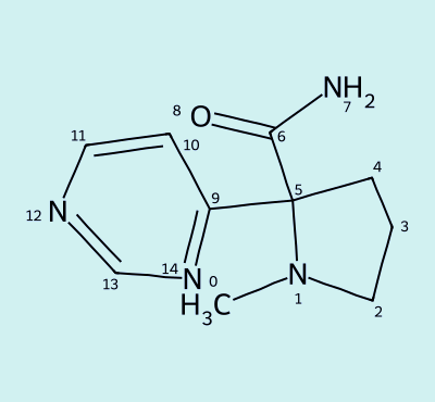 CN1CCCC1(C(N)=O)c1ccncn1